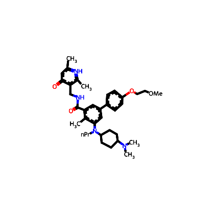 CCCN(c1cc(-c2ccc(OCCOC)cc2)cc(C(=O)NCc2c(C)[nH]c(C)cc2=O)c1C)C1CCC(N(C)C)CC1